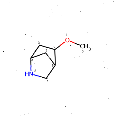 COC1CC2CC1CN2